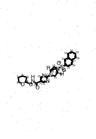 O=C(NOC1CCCCO1)c1cnc(N2C[C@@H]3C[C@H]2CN3S(=O)(=O)c2ccc3ccccc3c2)nc1